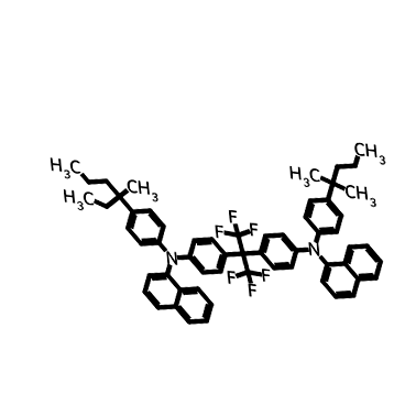 CCCC(C)(C)c1ccc(N(c2ccc(C(c3ccc(N(c4ccc(C(C)(CC)CCC)cc4)c4cccc5ccccc45)cc3)(C(F)(F)F)C(F)(F)F)cc2)c2cccc3ccccc23)cc1